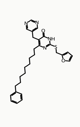 O=c1[nH]c(SCc2ccco2)nc(CCCCCCCCCc2ccccc2)c1Cc1cncnc1